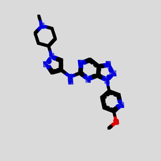 COc1ccc(-n2nnc3cnc(Nc4cnn(C5CCN(C)CC5)c4)nc32)cn1